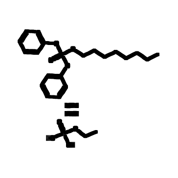 C=C.C=C.CCCCCCCCOP(=O)(Oc1ccccc1)Oc1ccccc1.CCOP(=O)(O)O